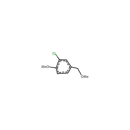 COCc1ccc(OC)c(Cl)c1